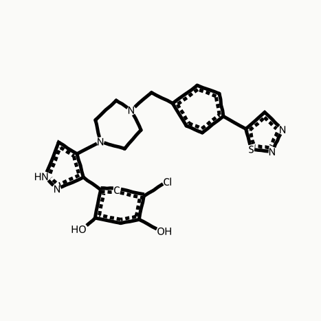 Oc1cc(O)c(-c2n[nH]cc2N2CCN(Cc3ccc(-c4cnns4)cc3)CC2)cc1Cl